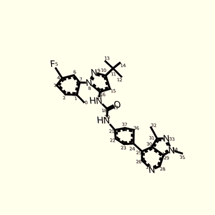 Cc1ccc(F)cc1-n1nc(C(C)(C)C)cc1NC(=O)Nc1ccc(-c2cncc3c2c(C)nn3C)cc1